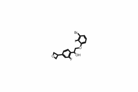 OC(COc1cccc(Br)c1I)c1ccc(C2COC2)cc1F